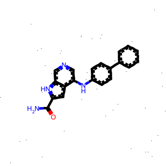 NC(=O)c1cc2c(Nc3ccc(-c4ccccc4)cc3)cncc2[nH]1